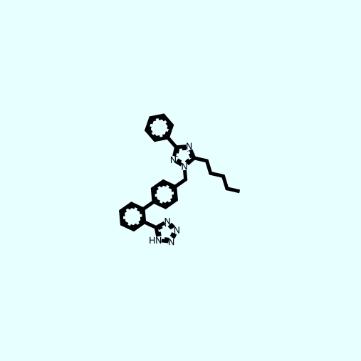 CCCCCc1nc(-c2ccccc2)nn1Cc1ccc(-c2ccccc2-c2nnn[nH]2)cc1